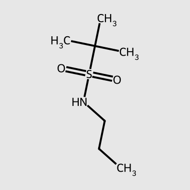 CCCNS(=O)(=O)C(C)(C)C